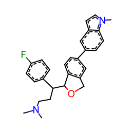 CN(C)CCC(c1ccc(F)cc1)C1OCc2cc(-c3ccc4c(ccn4C)c3)ccc21